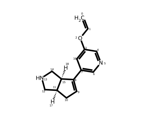 C=COc1cncc(C2=CC[C@H]3CNC[C@@H]23)c1